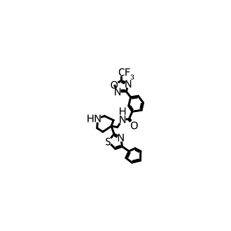 O=C(NCC1(c2nc(-c3ccccc3)cs2)CCNCC1)c1cccc(-c2noc(C(F)(F)F)n2)c1